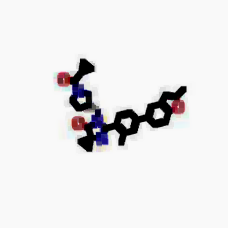 Cc1cc2cc(-c3ccc(C4=NC5(CC5)C(=O)N4C[C@@H]4CCN(C(=O)C5CC5)C4)c(C)c3)ccc2o1